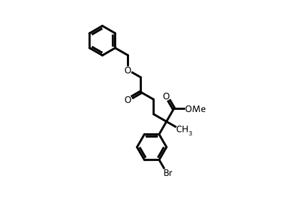 COC(=O)C(C)(CCC(=O)COCc1ccccc1)c1cccc(Br)c1